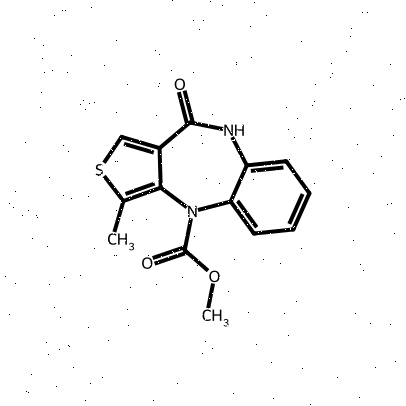 COC(=O)N1c2ccccc2NC(=O)c2csc(C)c21